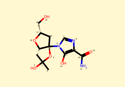 CC(C)(O)O[C@@]1(n2cnc(C(N)=O)c2O)CO[C@H](CO)C1